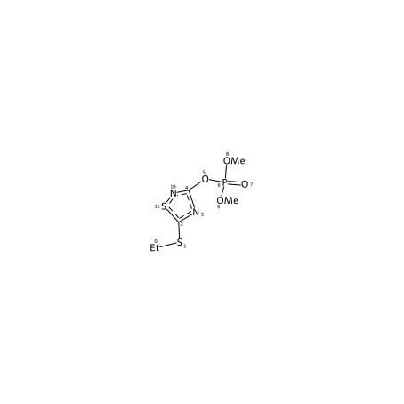 CCSc1nc(OP(=O)(OC)OC)ns1